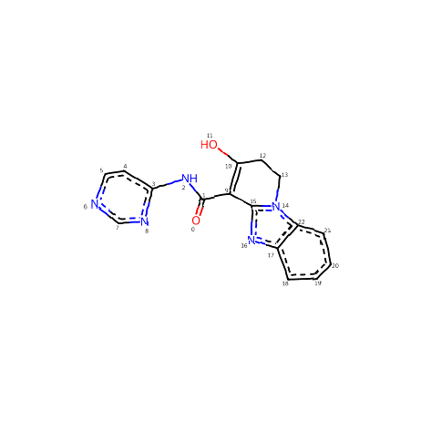 O=C(Nc1ccncn1)C1=C(O)CCn2c1nc1ccccc12